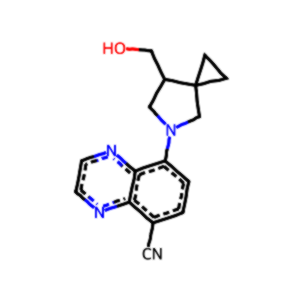 N#Cc1ccc(N2CC(CO)C3(CC3)C2)c2nccnc12